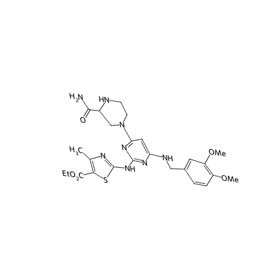 CCOC(=O)c1sc(Nc2nc(NCc3ccc(OC)c(OC)c3)cc(N3CCNC(C(N)=O)C3)n2)nc1C